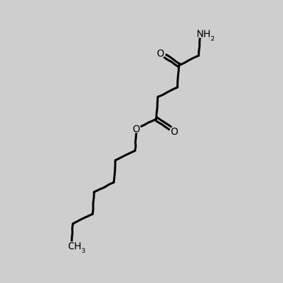 CCCCCCCOC(=O)CCC(=O)CN